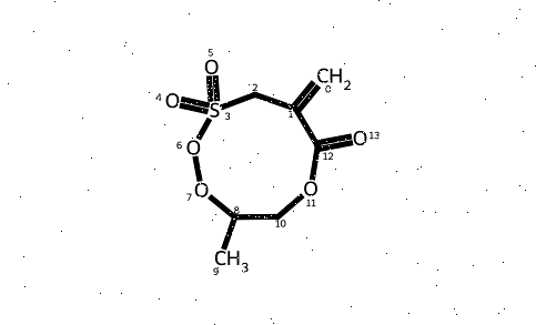 C=C1CS(=O)(=O)OOC(C)COC1=O